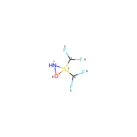 FC(F)S1(C(F)F)NO1